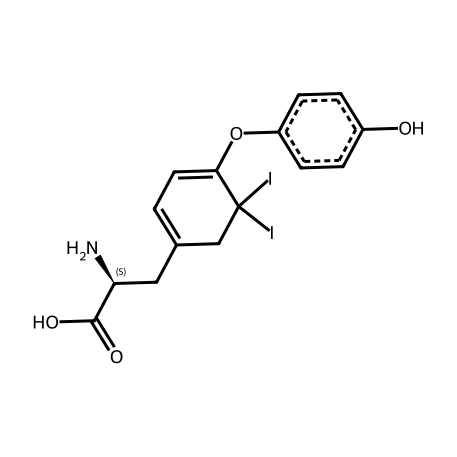 N[C@@H](CC1=CC=C(Oc2ccc(O)cc2)C(I)(I)C1)C(=O)O